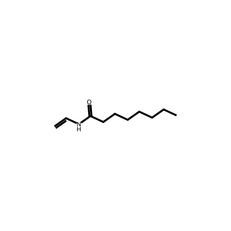 C=CNC(=O)CCCCCCC